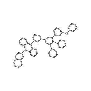 c1ccc(Oc2cccc(-c3cc(-c4cccc(-c5c6ccccc6c(-c6ccc7ccccc7c6)c6ccccc56)c4)cc(-c4ccccc4)c3-c3ccccc3)c2)cc1